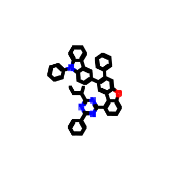 C/C=C(\C)c1nc(-c2ccccc2)nc(-c2cccc3oc4cc(-c5ccccc5)c(-c5ccc6c(c5)c5ccccc5n6-c5ccccc5)cc4c23)n1